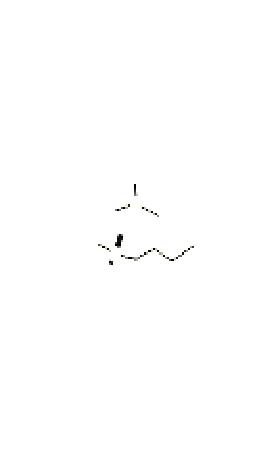 CCCCS(=O)(=O)O.CN(C)C